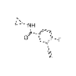 C#Cc1cc(C(=O)NC2CC2)ccc1F